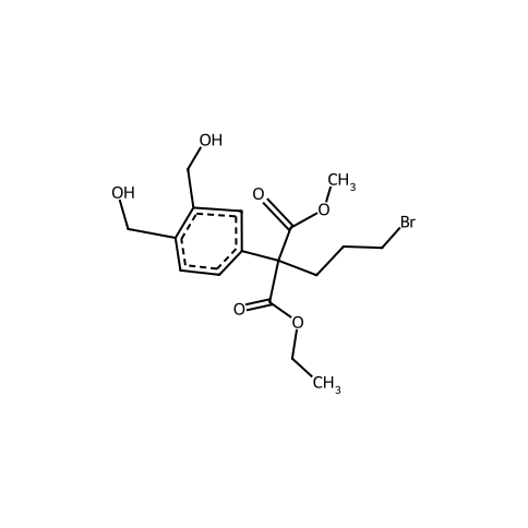 CCOC(=O)C(CCCBr)(C(=O)OC)c1ccc(CO)c(CO)c1